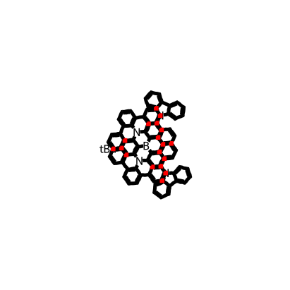 CC(C)(C)c1cc2c3c(c1)N(c1c(-c4ccccc4)cccc1-c1ccccc1)c1cc(-n4c5ccccc5c5ccccc54)cc(-c4ccccc4)c1B3c1c(-c3ccccc3)cc(-n3c4ccccc4c4ccccc43)cc1N2c1c(-c2ccccc2)cccc1-c1ccccc1